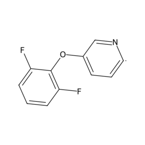 Fc1cccc(F)c1Oc1cc[c]nc1